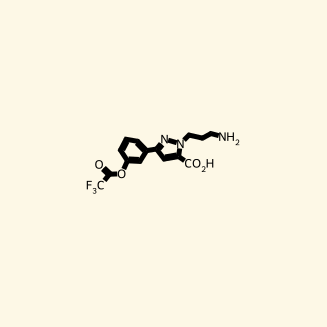 NCCCn1nc(-c2cccc(OC(=O)C(F)(F)F)c2)cc1C(=O)O